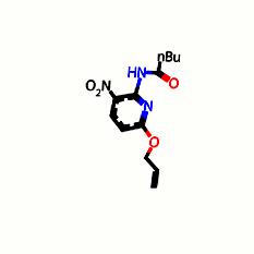 C=CCOc1ccc([N+](=O)[O-])c(NC(=O)CCCC)n1